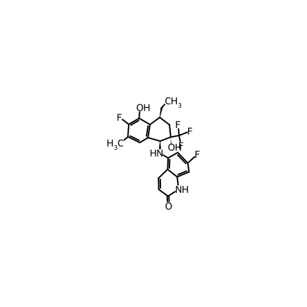 CC[C@H]1C[C@@](O)(C(F)(F)F)[C@@H](Nc2cc(F)cc3[nH]c(=O)ccc23)c2cc(C)c(F)c(O)c21